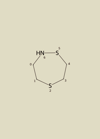 C1CSCCSN1